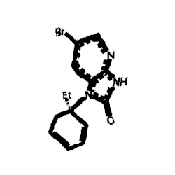 CC[C@]1(n2c(=O)[nH]c3ncc(Br)cc32)C=CC=CC1